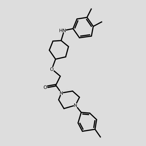 Cc1ccc(N2CCN(C(=O)COC3CCC(Nc4ccc(C)c(C)c4)CC3)CC2)cc1